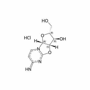 Cl.N=c1ccn2c(n1)O[C@H]1[C@H](O)[C@@H](CO)O[C@H]12